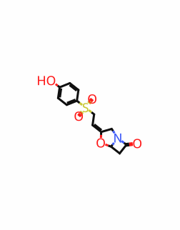 O=C1CC2OC(=CCS(=O)(=O)c3ccc(O)cc3)CN12